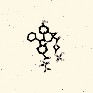 COc1ccc2c(c1)C1CC1(C(=O)N1CC(OP(=O)(O)O)C1)Cn1c-2c(C2CCCCC2)c2ccc(C(=O)NS(=O)(=O)N(C)C)cc21